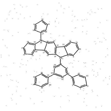 c1ccc(-c2cc(-n3c4ccccc4c4cc5c(cc43)c3ccccc3n5-c3ccccc3)nc(-c3ccccc3)n2)cc1